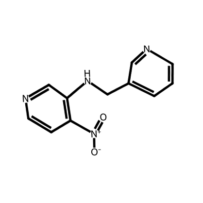 O=[N+]([O-])c1ccncc1NCc1cccnc1